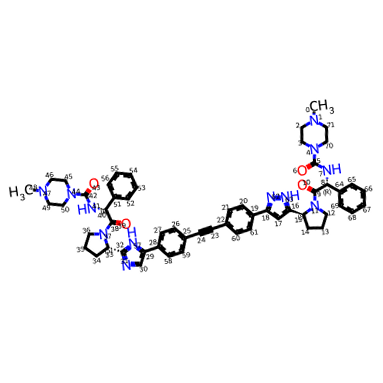 CN1CCN(C(=O)N[C@@H](C(=O)N2CCC[C@H]2c2cc(-c3ccc(C#Cc4ccc(-c5cnc([C@@H]6CCCN6C(=O)[C@H](NC(=O)N6CCN(C)CC6)c6ccccc6)[nH]5)cc4)cc3)n[nH]2)c2ccccc2)CC1